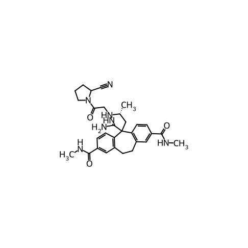 CNC(=O)c1ccc2c(c1)CCc1cc(C(=O)NC)ccc1C2(C[C@@H](C)NCC(=O)N1CCCC1C#N)C(=N)N